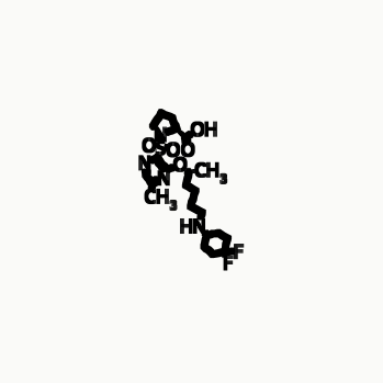 Cc1cnc(S(=O)(=O)N2CCC[C@H]2C(=O)O)c(O[C@H](C)CCCCNC2CCC(F)(F)CC2)n1